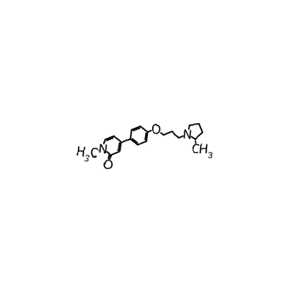 C[C@@H]1CCCN1CCCOc1ccc(-c2ccn(C)c(=O)c2)cc1